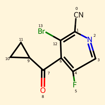 N#Cc1ncc(F)c(C(=O)C2CC2)c1Br